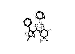 Cc1nc(C(=O)N2CC(F)(F)C[C@@H](C)[C@H]2CNc2ncccn2)c(-c2ccccc2)o1